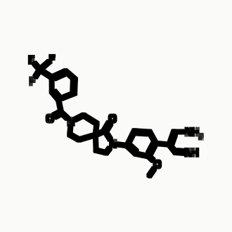 COc1cc(N2CCC3(CCN(C(=O)c4cccc(C(F)(F)F)c4)CC3)C2=O)ccc1/C(C=N)=C/N